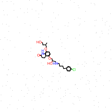 CC(CCO)COc1ccc(OCC(O)CNCCCCc2ccc(Cl)cc2)c2c1NC(=O)CC2